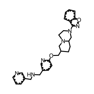 c1cncc(CNCc2ccc(OCC3CCC4CN(c5noc6ccccc56)CCN4C3)nc2)c1